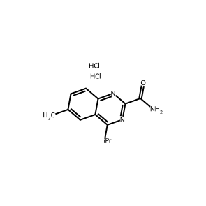 Cc1ccc2nc(C(N)=O)nc(C(C)C)c2c1.Cl.Cl